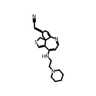 N#CC=C1CC=C2N=CC=C(NCCN3CCCCC3)C3=CSCC23C1